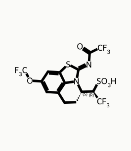 O=C(N=c1sc2cc(OC(F)(F)F)cc3c2n1[C@H]([C@H](C(F)(F)F)S(=O)(=O)O)CC3)C(F)(F)F